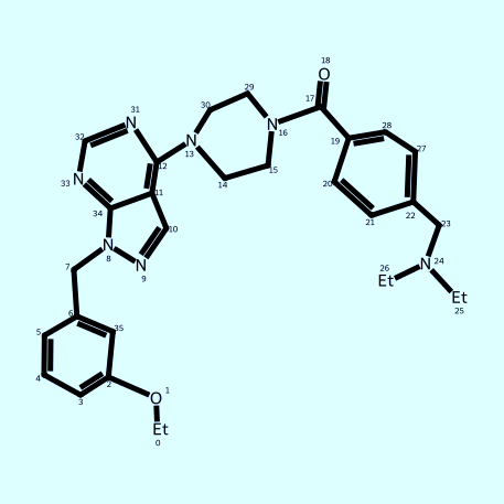 CCOc1cccc(Cn2ncc3c(N4CCN(C(=O)c5ccc(CN(CC)CC)cc5)CC4)ncnc32)c1